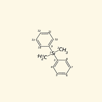 [CH2][Si](C)(c1ccccc1)c1ccccc1